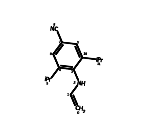 C=CNc1c(C(C)C)cc(C#N)cc1C(C)C